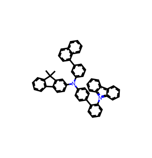 CC1(C)c2ccccc2-c2ccc(N(c3ccc(-c4ccccc4-n4c5ccccc5c5ccccc54)cc3)c3cccc(-c4cccc5ccccc45)c3)cc21